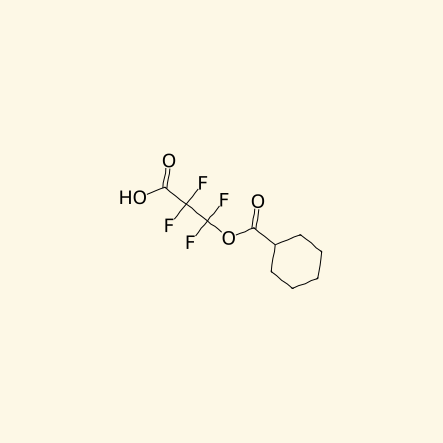 O=C(OC(F)(F)C(F)(F)C(=O)O)C1CCCCC1